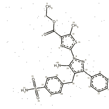 CCOC(=O)c1nc(-n2nc(-c3ccccc3)c(Cc3ccc(S(N)(=O)=O)cc3)c2N)sc1C